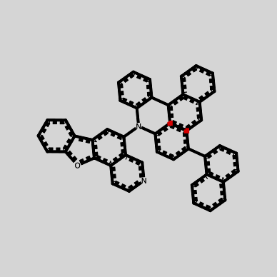 c1ccc(N(c2ccc(-c3cccc4ccccc34)cc2)c2cc3c4ccccc4oc3c3ccncc23)c(-c2cccc3ccccc23)c1